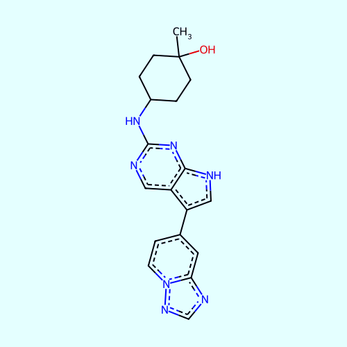 CC1(O)CCC(Nc2ncc3c(-c4ccn5ncnc5c4)c[nH]c3n2)CC1